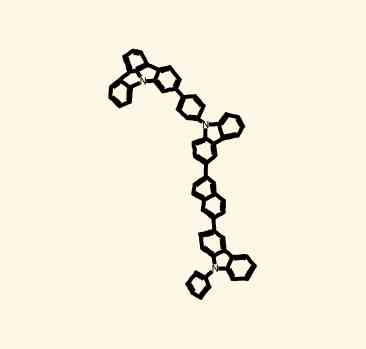 c1ccc(-n2c3ccccc3c3cc(-c4ccc5cc(-c6ccc7c(c6)c6ccccc6n7-c6ccc(-c7ccc8c9cccc%10c%11ccccc%11n(c8c7)c%109)cc6)ccc5c4)ccc32)cc1